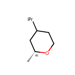 CC(C)C1CCO[C@H](C)C1